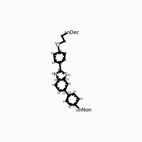 CCCCCCCCCCCCOc1ccc(-c2nc3ccc(-c4ccc(CCCCCCCCC)cc4)cc3s2)cc1